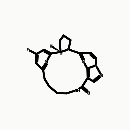 O=C1NCCCCc2cc(F)cc(n2)[C@H]2CCCN2c2ccn3ncc1c3n2